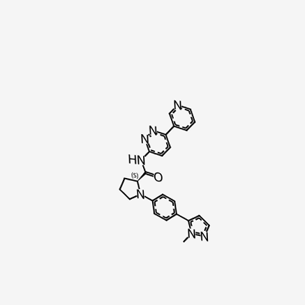 Cn1nccc1-c1ccc(N2CCC[C@H]2C(=O)Nc2ccc(-c3cccnc3)nn2)cc1